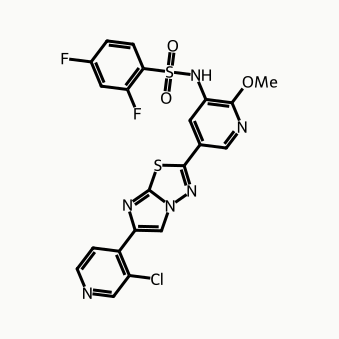 COc1ncc(-c2nn3cc(-c4ccncc4Cl)nc3s2)cc1NS(=O)(=O)c1ccc(F)cc1F